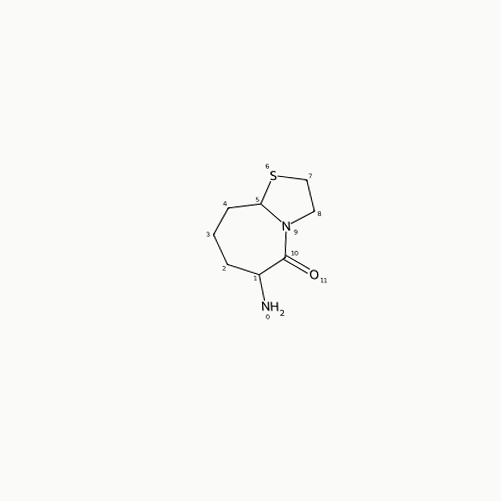 NC1CCCC2SCCN2C1=O